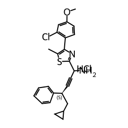 COc1ccc(-c2nc(C(N)C#C[C@@H](CC3CC3)c3ccccc3)sc2C)c(Cl)c1.Cl